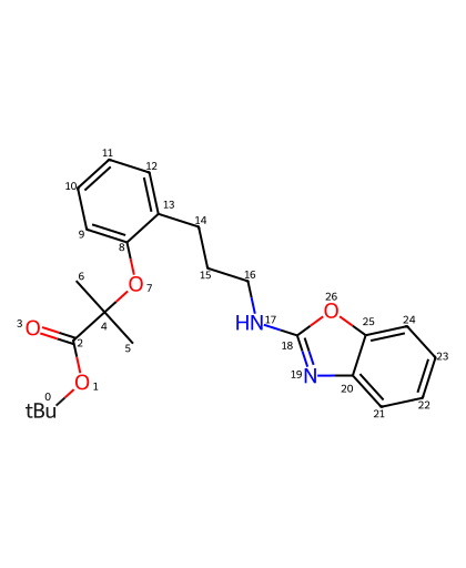 CC(C)(C)OC(=O)C(C)(C)Oc1ccccc1CCCNc1nc2ccccc2o1